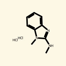 CNc1nc2ccccc2n1C.Cl.Cl